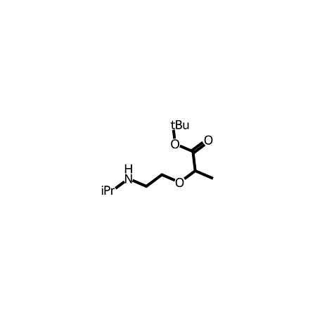 CC(C)NCCOC(C)C(=O)OC(C)(C)C